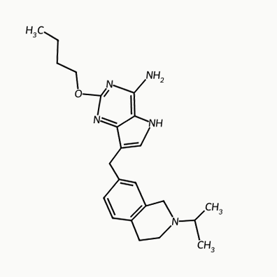 CCCCOc1nc(N)c2[nH]cc(Cc3ccc4c(c3)CN(C(C)C)CC4)c2n1